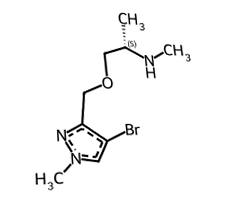 CN[C@@H](C)COCc1nn(C)cc1Br